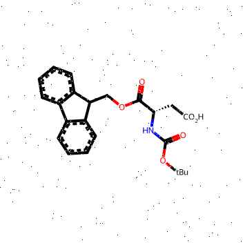 CC(C)(C)OC(=O)N[C@@H](CC(=O)O)C(=O)OCC1c2ccccc2-c2ccccc21